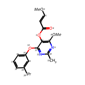 COC=CC(=O)Oc1c(OC)nc(C)nc1Oc1cccc(C(C)C)c1